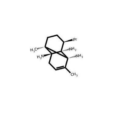 CC1=CC[C@]2(N)[C@@]3(C)CC[C@@H](C(C)C)[C@@]2(N)[C@@]13N